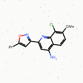 COc1ccc2c(N)cc(-c3cc(C(C)C)on3)nc2c1Cl